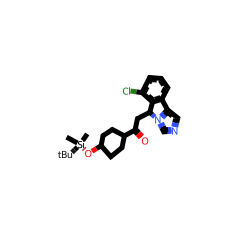 CC(C)(C)[Si](C)(C)OC1CCC(C(=O)CC2c3c(Cl)cccc3-c3cncn32)CC1